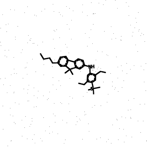 CCCCc1ccc2c(c1)C(C)(C)c1cc(Nc3cc(CC)c([Si](C)(C)C)cc3CC)ccc1-2